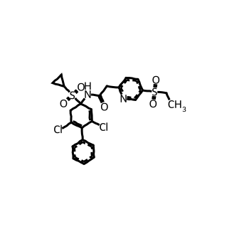 CCS(=O)(=O)c1ccc(CC(=O)NC2(S(=O)(=O)C3CC3)C=C(Cl)C(c3ccccc3)=C(Cl)C2)nc1